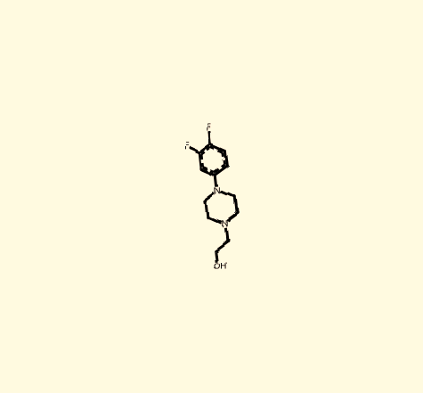 OCCN1CCN(c2ccc(F)c(F)c2)CC1